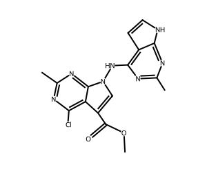 COC(=O)c1cn(Nc2nc(C)nc3[nH]ccc23)c2nc(C)nc(Cl)c12